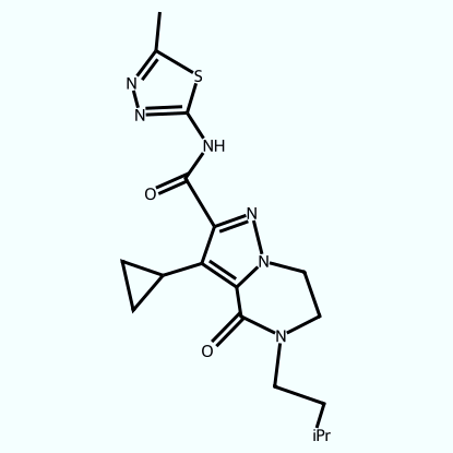 Cc1nnc(NC(=O)c2nn3c(c2C2CC2)C(=O)N(CCC(C)C)CC3)s1